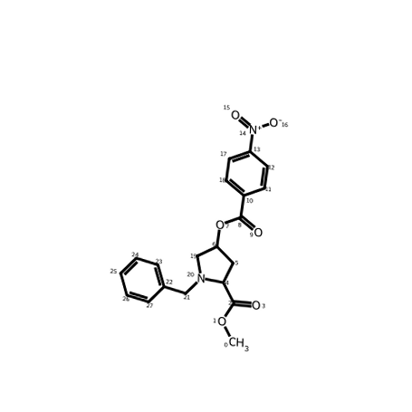 COC(=O)C1CC(OC(=O)c2ccc([N+](=O)[O-])cc2)CN1Cc1ccccc1